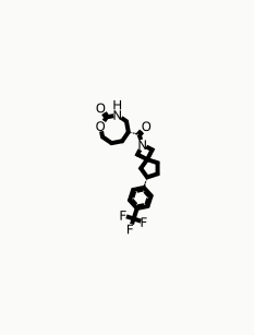 O=C1NC[C@H](C(=O)N2CC3(CC[C@H](c4ccc(C(F)(F)F)cc4)C3)C2)CCCO1